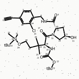 C#Cc1ccc(CNC(=O)[C@@H]2C[C@@H](O)CN2C(=O)[C@@H](NC(=O)OC(C)(C)C)C(C)(C)CCO[Si](C)(C)C(C)(C)C)c(Cl)c1